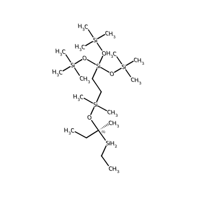 CC[SiH2][C@@](C)(CC)O[Si](C)(C)CC[Si](O[Si](C)(C)C)(O[Si](C)(C)C)O[Si](C)(C)C